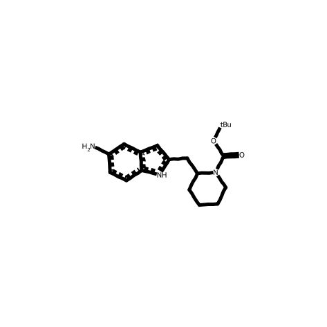 CC(C)(C)OC(=O)N1CCCCC1Cc1cc2cc(N)ccc2[nH]1